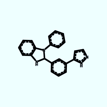 c1ccc(N2c3ccccc3NC2c2cccc(-c3ccn[nH]3)c2)cc1